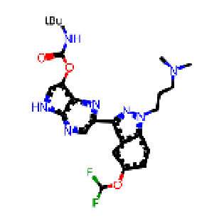 CN(C)CCCn1nc(-c2cnc3[nH]cc(OC(=O)NC(C)(C)C)c3n2)c2cc(OC(F)F)ccc21